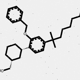 CCCCCCC(C)(C)c1ccc([C@H]2C[CH]C[C@@H](CO)C2)c(OCc2ccccc2)c1